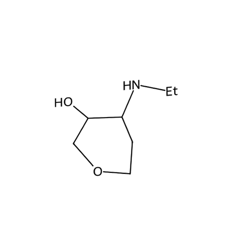 CCNC1CCOCC1O